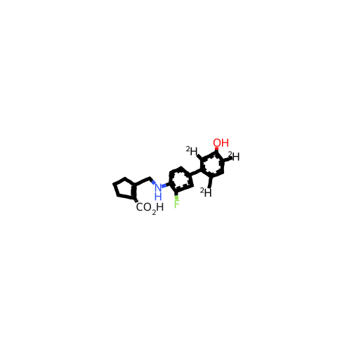 [2H]c1cc([2H])c(-c2ccc(NCC3=C(C(=O)O)CCC3)c(F)c2)c([2H])c1O